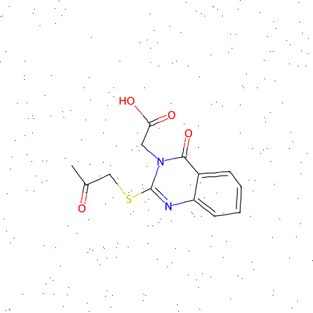 CC(=O)CSc1nc2ccccc2c(=O)n1CC(=O)O